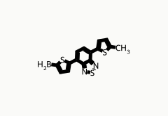 Bc1ccc(-c2ccc(-c3ccc(C)s3)c3nsnc23)s1